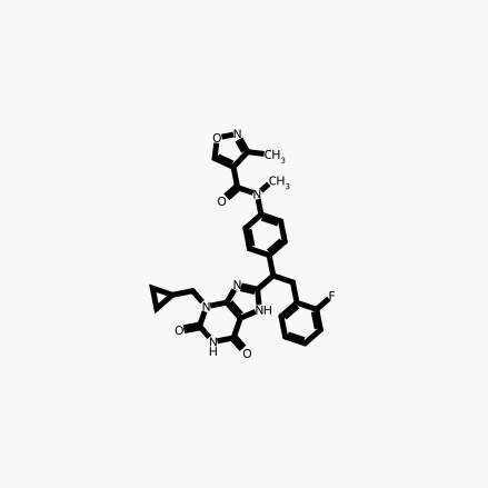 Cc1nocc1C(=O)N(C)c1ccc(C(Cc2ccccc2F)c2nc3c([nH]2)c(=O)[nH]c(=O)n3CC2CC2)cc1